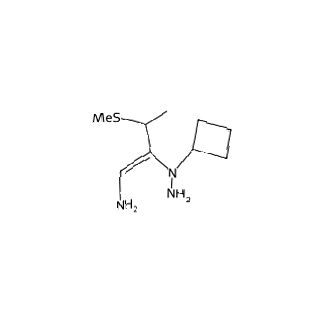 CSC(C)/C(=C/N)N(N)C1CCC1